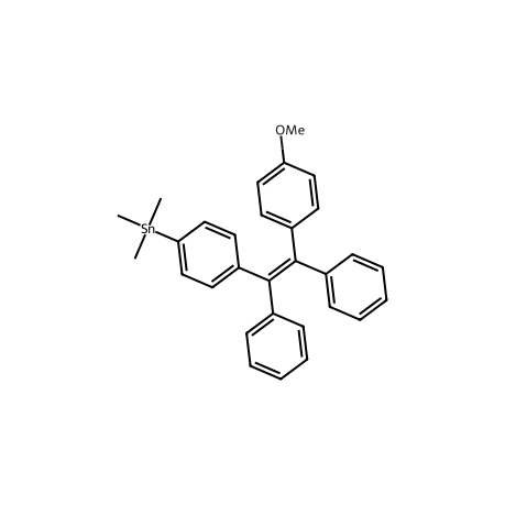 COc1ccc(C(=C(c2ccccc2)c2cc[c]([Sn]([CH3])([CH3])[CH3])cc2)c2ccccc2)cc1